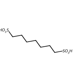 O=S(=O)(O)CCCCCCCS(=O)(=O)O